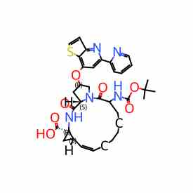 CC(C)(C)OC(=O)NC1CCCCCC=C[C@@H]2C[C@@]2(C(=O)O)NC(=O)[C@@H]2C[C@@H](Oc3cc(-c4ccccn4)nc4ccsc34)CN2C1=O